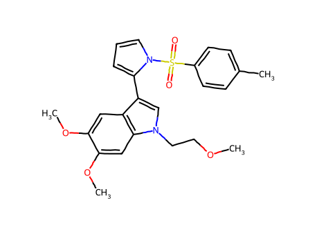 COCCn1cc(-c2cccn2S(=O)(=O)c2ccc(C)cc2)c2cc(OC)c(OC)cc21